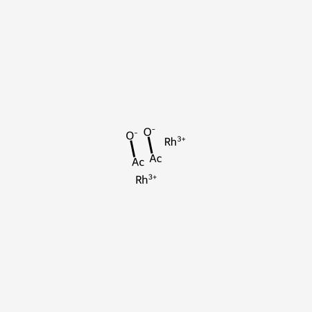 CC(=O)[O-].CC(=O)[O-].[Rh+3].[Rh+3]